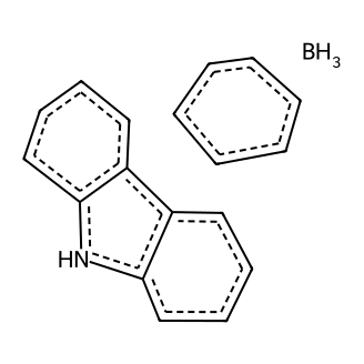 B.c1ccc2c(c1)[nH]c1ccccc12.c1ccccc1